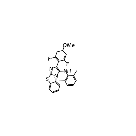 COC1C=C(F)C(c2nc3sc4ccccc4n3c2Nc2c(C)cccc2C)=C(F)C1